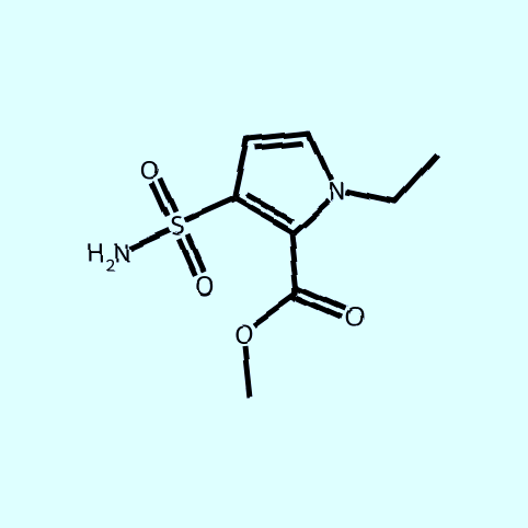 CCn1ccc(S(N)(=O)=O)c1C(=O)OC